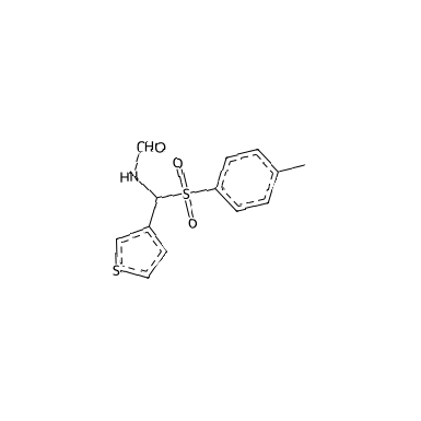 Cc1ccc(S(=O)(=O)C(NC=O)c2ccsc2)cc1